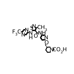 Cc1nsc(Nc2cnc(C(F)(F)F)cn2)c1C(=O)Nc1ccc(OC[C@@H]2CCCN(C(=O)O)C2)nc1